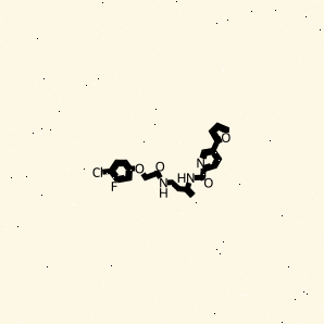 C=C(CCNC(=O)COc1ccc(Cl)c(F)c1)NC(=O)c1ccc(-c2ccco2)cn1